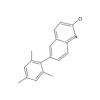 Cc1cc(C)c(-c2ccc3nc(Cl)ccc3c2)c(C)c1